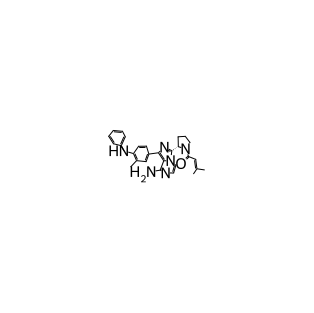 CC(C)=CC(=O)N1CCC[C@H]1c1nc(-c2ccc(Nc3ccccc3)c(C)c2)c2c(N)nccn12